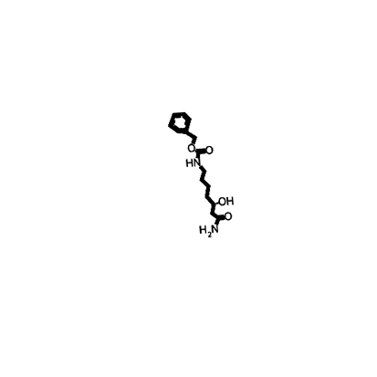 NC(=O)C[C@@H](O)CCCCNC(=O)OCc1ccccc1